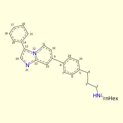 CCCCCCNCCCc1ccc(-c2ccn3c(-c4ccccc4)cnc3c2)cc1